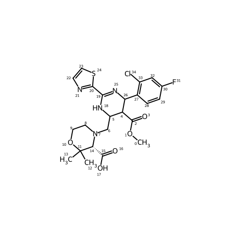 COC(=O)C1C(CN2CCOC(C)(C)[C@H]2C(=O)O)NC(c2nccs2)=NC1c1ccc(F)cc1Cl